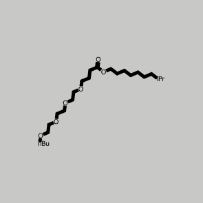 CCCCOCCOCCOCCOCCCC(=O)OCCCCCCCC(C)C